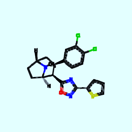 CN1[C@@H]2CC[C@@H]1[C@H](c1nc(-c3cccs3)no1)[C@H](c1ccc(Cl)c(Cl)c1)C2